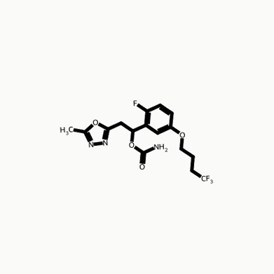 Cc1nnc(CC(OC(N)=O)c2cc(OCCCC(F)(F)F)ccc2F)o1